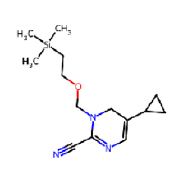 C[Si](C)(C)CCOCN1CC(C2CC2)=CN=C1C#N